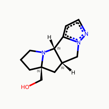 OC[C@@]12CCCN1[C@@H]1c3ccnn3C[C@@H]1C2